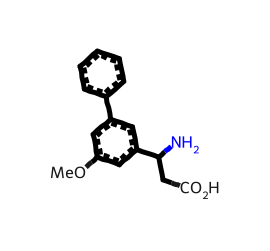 COc1cc(-c2ccccc2)cc(C(N)CC(=O)O)c1